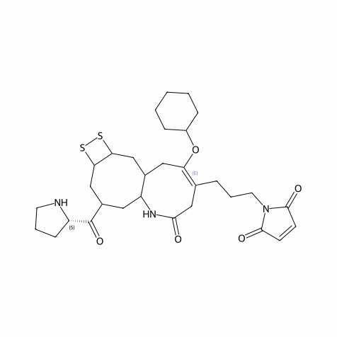 O=C1C/C(CCCN2C(=O)C=CC2=O)=C(/OC2CCCCC2)CC2CC3SSC3CC(C(=O)[C@@H]3CCCN3)CC2N1